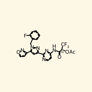 CC(=O)O[C@@H](C(=O)Nc1ccnc(-c2cc(-c3ccon3)n(Cc3ccccc3F)n2)n1)C(F)(F)F